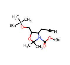 C#CCC1C(CO[Si](C)(C)C(C)(C)C)OC(C)(C)N1C(=O)OC(C)(C)C